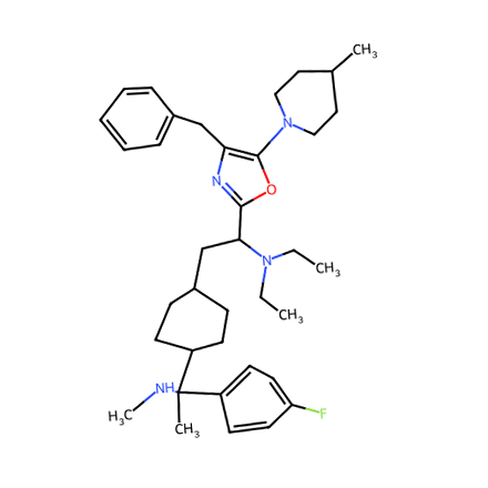 CCN(CC)C(CC1CCC(C(C)(NC)c2ccc(F)cc2)CC1)c1nc(Cc2ccccc2)c(N2CCC(C)CC2)o1